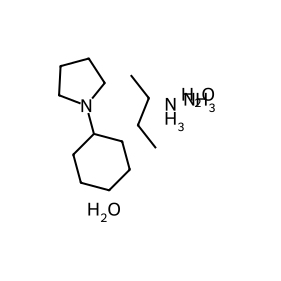 C1CCC(N2CCCC2)CC1.CCCC.N.N.O.O